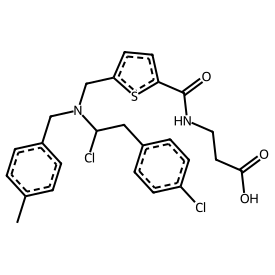 Cc1ccc(CN(Cc2ccc(C(=O)NCCC(=O)O)s2)C(Cl)Cc2ccc(Cl)cc2)cc1